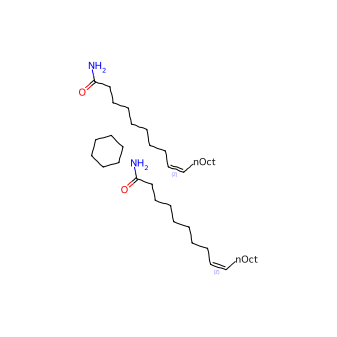 C1CCCCC1.CCCCCCCC/C=C\CCCCCCCC(N)=O.CCCCCCCC/C=C\CCCCCCCC(N)=O